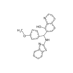 COc1ccc(C(Nc2nc3ccccc3s2)c2ccc3cccnc3c2O)cc1